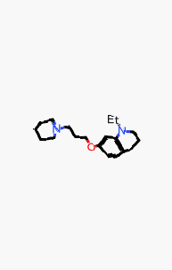 CCN1CCCc2ccc(OCCCN3CCCCC3)cc21